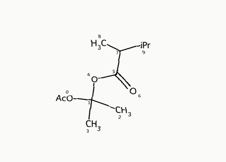 CC(=O)OC(C)(C)OC(=O)C(C)C(C)C